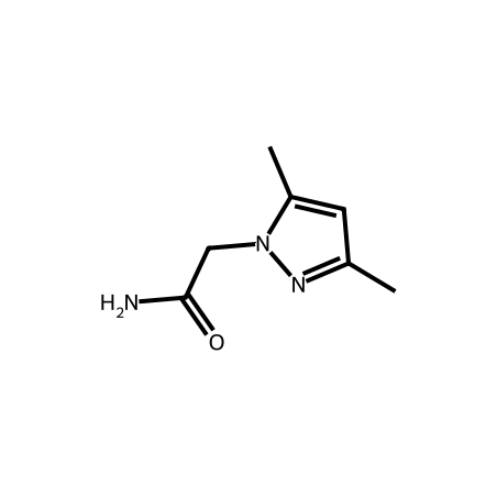 Cc1cc(C)n(CC(N)=O)n1